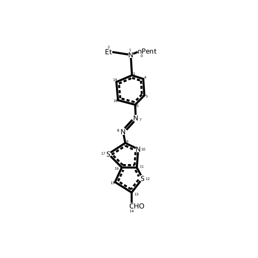 CCCCCN(CC)c1ccc(/N=N/c2nc3sc(C=O)cc3s2)cc1